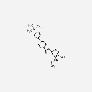 CSNc1cc(N2Cc3cc(-c4ccc(C(C)(C)C)cc4)ccc3C2=O)ccc1O